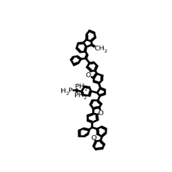 C=C1c2ccccc2-c2cccc(/C=C(\c3ccccc3)c3ccc4c(c3)oc3cc(C5=CC=C(c6ccc7c(c6)oc6cc(C(c8ccccc8)c8cccc9c8oc8ccccc89)ccc67)C5c5ccc(C(P)(P)P)cc5)ccc34)c21